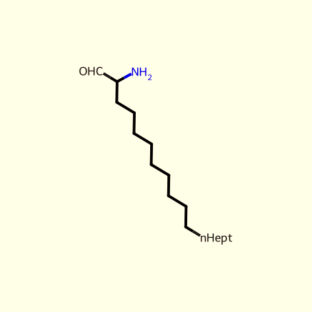 CCCCCCCCCCCCCCCCC(N)C=O